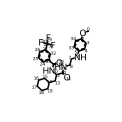 COc1ccc(NCCNC(=O)C(CC2CCCCC2)NC(=O)c2cccc(C(F)(F)F)c2)cc1